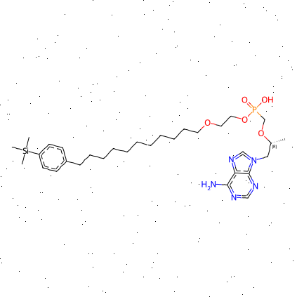 C[C@H](Cn1cnc2c(N)ncnc21)OCP(=O)(O)OCCOCCCCCCCCCCCc1ccc([Si](C)(C)C)cc1